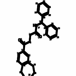 O=C(CCC(=O)c1ccc2c(c1)CCNCC2)NC(c1ccccc1)c1ccccc1